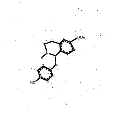 COc1ccc2c(c1)CCN(C)C2Cc1ccc(O)cc1